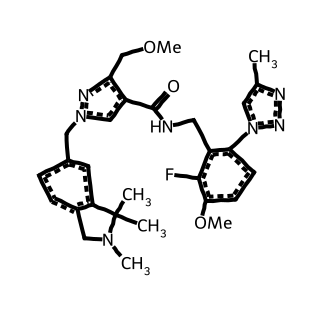 COCc1nn(Cc2ccc3c(c2)C(C)(C)N(C)C3)cc1C(=O)NCc1c(-n2cc(C)nn2)ccc(OC)c1F